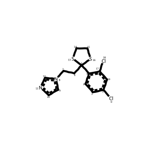 Clc1ccc(C2(CCn3ccnc3)SCCS2)c(Cl)c1